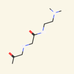 CC(=O)CNCC(=O)NCCN(C)C